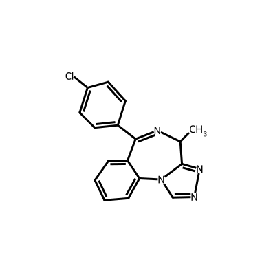 CC1N=C(c2ccc(Cl)cc2)c2ccccc2-n2cnnc21